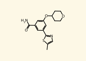 Cc1cnc(-c2cc(OC3CCOCC3)cc(C(N)=O)c2)s1